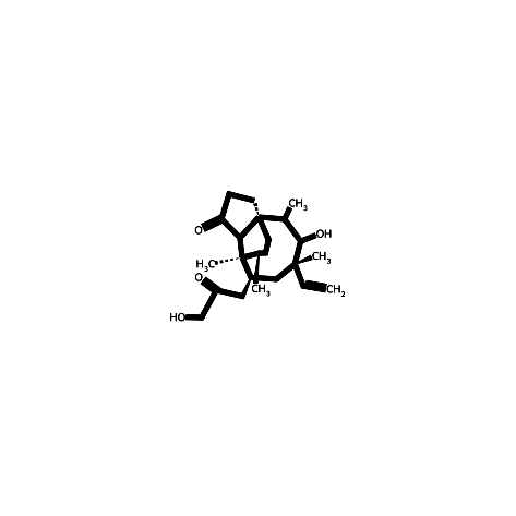 C=C[C@]1(C)C[C@@H](CC(=O)CO)[C@@]2(C)C3C(=O)CC[C@@]3(CC[C@H]2C)C(C)C1O